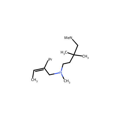 C/C=C(\CN(C)CCC(C)(C)CNC)C(C)C